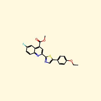 CCOc1ccc(-c2cnc(-c3cc(C(=O)OC)c4cc(F)ccc4n3)s2)cc1